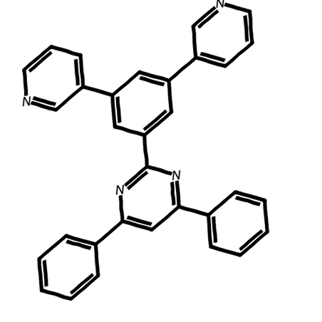 c1ccc(-c2cc(-c3ccccc3)nc(-c3cc(-c4cccnc4)cc(-c4cccnc4)c3)n2)cc1